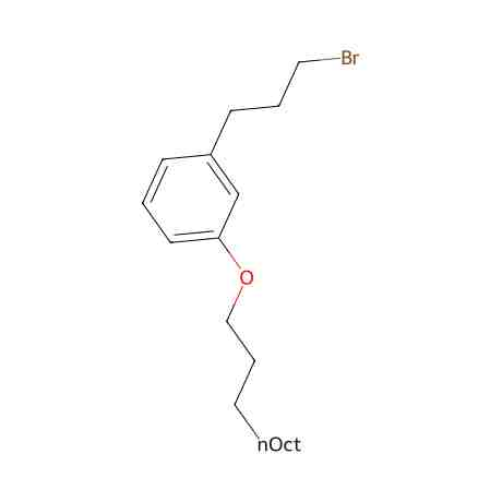 CCCCCCCCCCCOc1cccc(CCCBr)c1